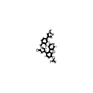 Cn1cc(-c2ccc(CN3CC(c4ccc(OC(F)F)c5oc6cnccc6c45)CC3=O)c(F)c2)cn1